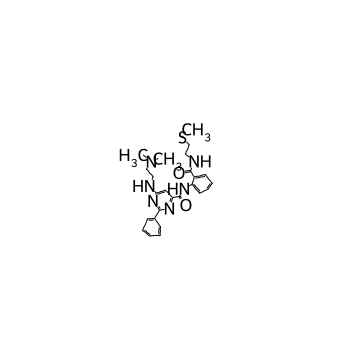 CSCCNC(=O)c1ccccc1NC(=O)c1cc(NCCN(C)C)nc(-c2ccccc2)n1